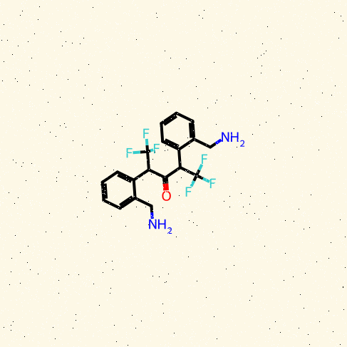 NCc1ccccc1C(C(=O)C(c1ccccc1CN)C(F)(F)F)C(F)(F)F